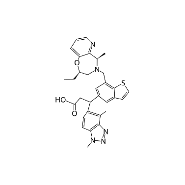 CC[C@@H]1CN(Cc2cc(C(CC(=O)O)c3ccc4c(nnn4C)c3C)cc3ccsc23)[C@H](C)c2ncccc2O1